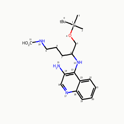 CC(C)(C)[Si](C)(C)OCC(CCCNC(=O)O)Nc1c(N)cnc2ccccc12